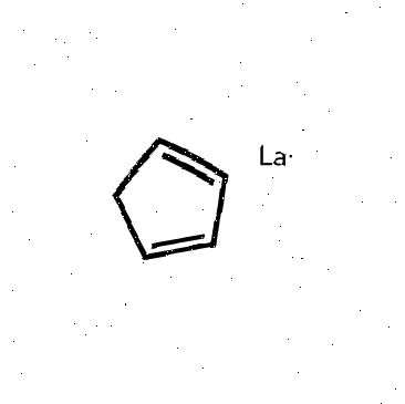 C1=CCC=C1.[La]